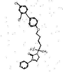 CC(C)(CCCCOc1ccc(-c2ccc(Cl)cc2Cl)cc1)N1CCN(c2ccncc2)C1=O